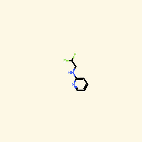 FC(F)CNc1ccccn1